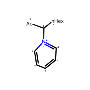 CCCCCCC(C(C)=O)[n+]1ccccc1